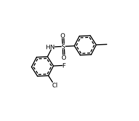 Cc1ccc(S(=O)(=O)Nc2cccc(Cl)c2F)cc1